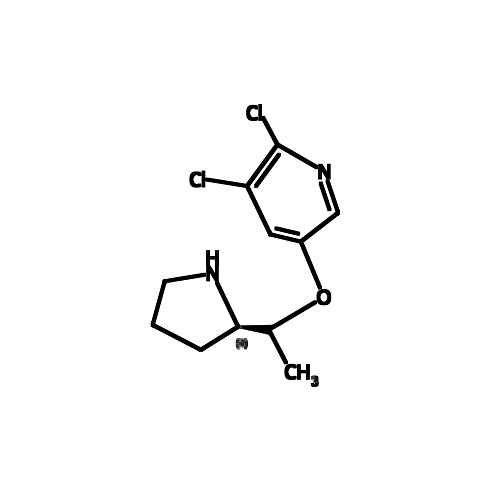 CC(Oc1cnc(Cl)c(Cl)c1)[C@H]1CCCN1